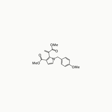 C=C(C(=O)OC)c1c(C(=O)OC)ccn1Cc1ccc(OC)cc1